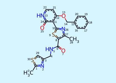 Cc1nc(CNC(=O)c2sc(-c3c(OCc4ccccc4)cc[nH]c3=O)nc2C)cs1